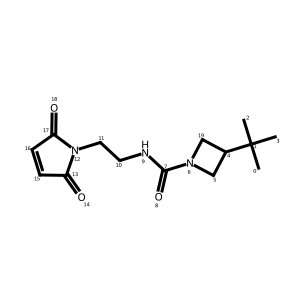 CC(C)(C)C1CN(C(=O)NCCN2C(=O)C=CC2=O)C1